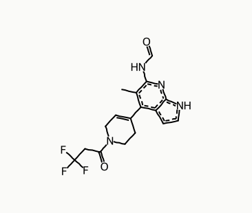 Cc1c(NC=O)nc2[nH]ccc2c1C1=CCN(C(=O)CC(F)(F)F)CC1